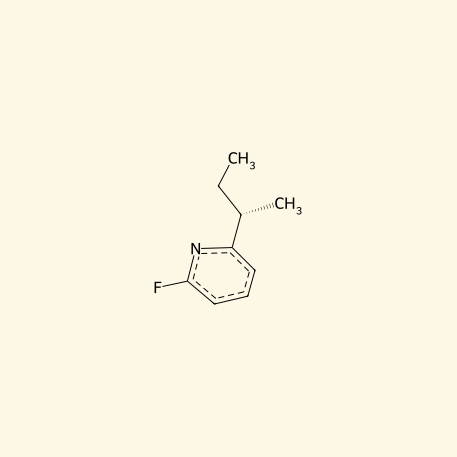 CC[C@H](C)c1cccc(F)n1